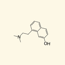 CN(C)CCc1cccc2ccc(O)cc12